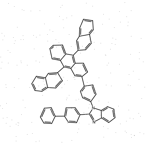 c1ccc(-c2ccc(-c3nc4ccccc4n3-c3ccc(-c4ccc5c(-c6ccc7ccccc7c6)c6ccccc6c(-c6ccc7ccccc7c6)c5c4)cc3)cc2)cc1